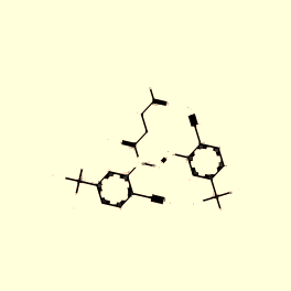 N#Cc1ccc(C(F)(F)F)cc1/N=N/N(C(=O)CCC(=O)O)c1cc(C(F)(F)F)ccc1C#N